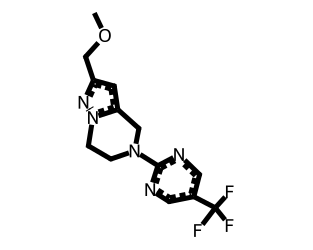 COCc1cc2n(n1)CCN(c1ncc(C(F)(F)F)cn1)C2